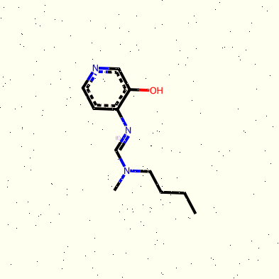 CCCCN(C)/C=N/c1ccncc1O